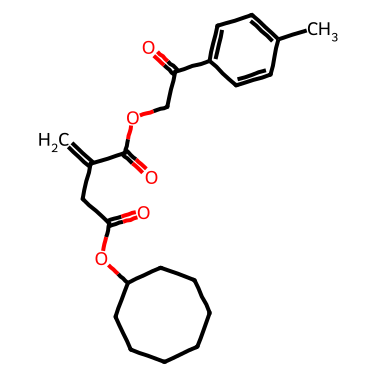 C=C(CC(=O)OC1CCCCCCC1)C(=O)OCC(=O)c1ccc(C)cc1